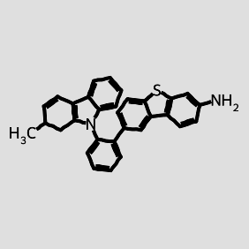 CC1C=Cc2c(n(-c3ccccc3-c3ccc4sc5cc(N)ccc5c4c3)c3ccccc23)C1